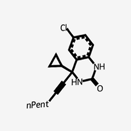 CCCCCC#CC1(C2CC2)NC(=O)Nc2ccc(Cl)cc21